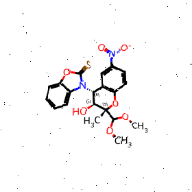 COC(OC)[C@@]1(C)Oc2ccc([N+](=O)[O-])cc2[C@@H](n2c(=S)oc3ccccc32)[C@@H]1O